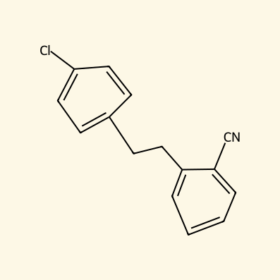 N#Cc1ccccc1CCc1ccc(Cl)cc1